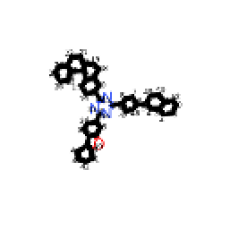 c1ccc2cc(-c3ccc(-c4nc(-c5ccc6c(ccc7ccc8ccccc8c76)c5)nc(-c5ccc6c(c5)oc5ccccc56)n4)cc3)ccc2c1